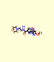 CCOC1C2C(=O)NN1C2c1cc(C(=O)NCCN2CCOCC2)c[nH]1